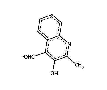 Cc1nc2ccccc2c([C]=O)c1O